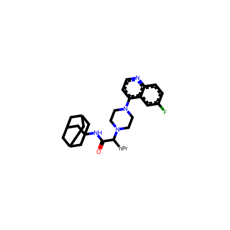 CCCC(C(=O)NC12CC3CC(CC(C3)C1)C2)N1CCN(c2ccnc3ccc(F)cc23)CC1